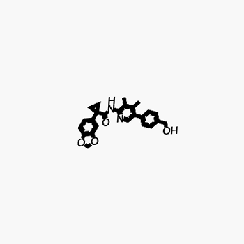 Cc1c(-c2ccc(CO)cc2)cnc(NC(=O)C2(c3ccc4c(c3)OCO4)CC2)c1C